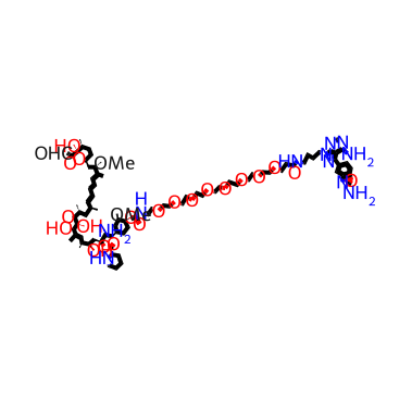 CO[C@@H](C[C@@H]1CC[C@@H](C)[C@](O)(C(=O)C=O)O1)/C(C)=C/C=C/C=C/[C@@H](C)C[C@@H](C)C(=O)[C@H](O)[C@H](O)/C(C)=C/[C@@H](C)[C@H](O)C[C@H](OC(=O)[C@@H]1CCCCN1)[C@H](N)C[C@@H]1CC[C@@H](OC(=O)NCCOCCOCCOCCOCCOCCOCCOCCOCCC(=O)NCCCCn2nc(-c3ccc4oc(N)nc4c3)c3c(N)ncnc32)[C@H](OC)C1